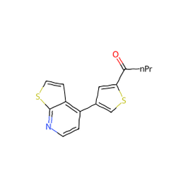 CCCC(=O)c1cc(-c2ccnc3sccc23)cs1